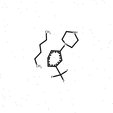 CCCCCC.FC(F)(F)c1cccc(N2CCNCC2)c1